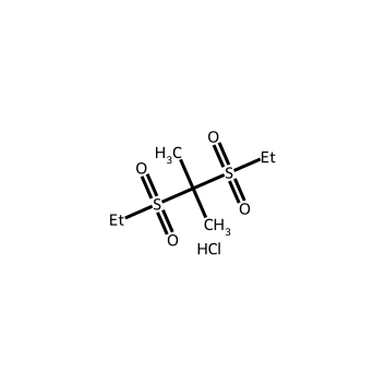 CCS(=O)(=O)C(C)(C)S(=O)(=O)CC.Cl